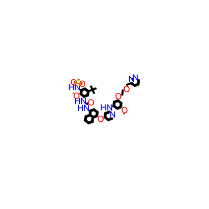 COc1cc(Nc2cc(Oc3ccc(NC(=O)Nc4cc(C(C)(C)C)cc(NS(C)(=O)=O)c4OC)c4ccccc34)ccn2)cc(OCCOCc2cccnn2)c1